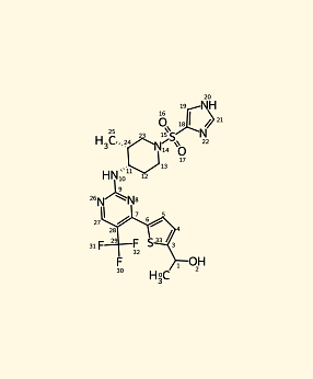 CC(O)c1ccc(-c2nc(N[C@H]3CCN(S(=O)(=O)c4c[nH]cn4)C[C@H]3C)ncc2C(F)(F)F)s1